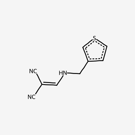 N#CC(C#N)=CNCc1ccsc1